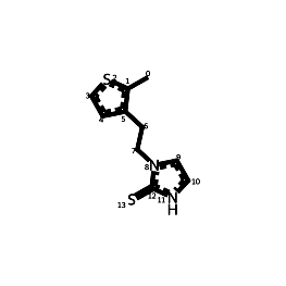 Cc1sccc1CCn1cc[nH]c1=S